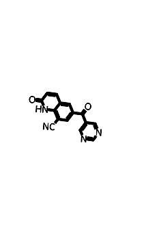 N#Cc1cc(C(=O)c2cncnc2)cc2ccc(=O)[nH]c12